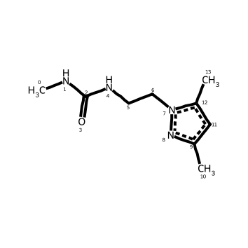 CNC(=O)NCCn1nc(C)cc1C